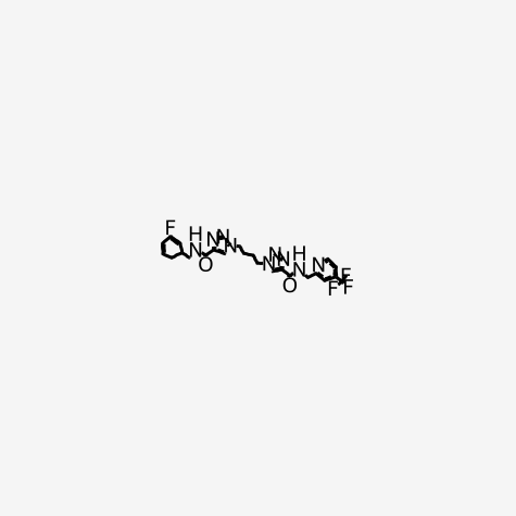 O=C(NCc1cc(C(F)(F)F)ccn1)c1cn(CCCCn2cc(C(=O)NCC3C=C(F)C=CC3)nn2)nn1